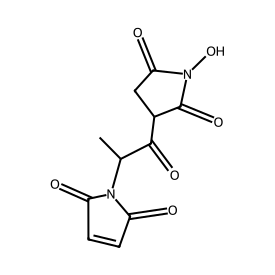 CC(C(=O)C1CC(=O)N(O)C1=O)N1C(=O)C=CC1=O